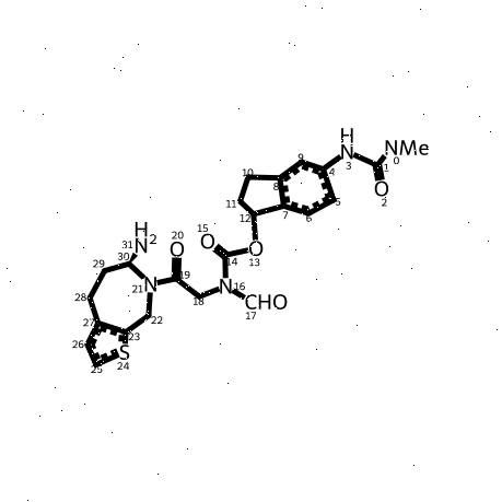 CNC(=O)Nc1ccc2c(c1)CCC2OC(=O)N(C=O)CC(=O)N1Cc2sccc2CC[C@H]1N